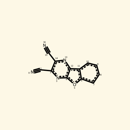 N#Cc1nc2oc3ccccc3c2nc1C#N